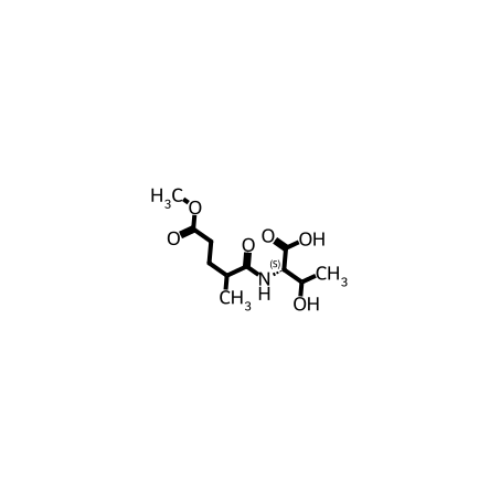 COC(=O)CCC(C)C(=O)N[C@H](C(=O)O)C(C)O